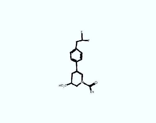 CCC(=O)N1CC(C(=O)O)CC(c2ccc(CC(F)F)cc2)C1